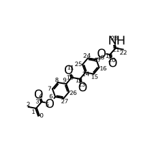 C=C(C)C(=O)Oc1ccc(C(=O)C(=O)c2ccc(OC(=O)C(C)=N)cc2)cc1